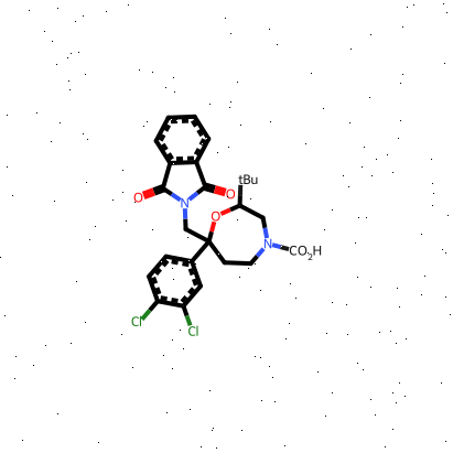 CC(C)(C)C1CN(C(=O)O)CCC(CN2C(=O)c3ccccc3C2=O)(c2ccc(Cl)c(Cl)c2)O1